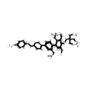 CCc1cc(C2CCC(CCC3CCC(C)CC3)CC2)ccc1-c1cc(CC)c(OCC(CC)(CC)CC)c(CC)c1CC